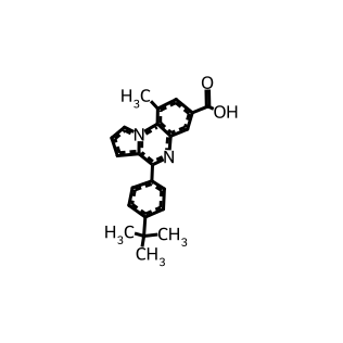 Cc1cc(C(=O)O)cc2nc(-c3ccc(C(C)(C)C)cc3)c3cccn3c12